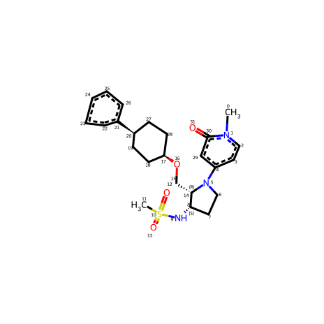 Cn1ccc(N2CC[C@H](NS(C)(=O)=O)[C@@H]2CO[C@H]2CC[C@@H](c3ccccc3)CC2)cc1=O